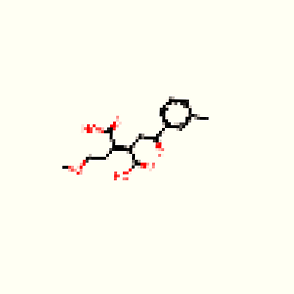 COCCC(C(=O)O)=C(CC(=O)c1cccc(C)c1)C(=O)O